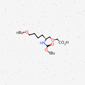 CCCCOCCCC[C@@H](COCC(=O)O)NC(=O)OC(C)(C)C